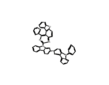 c1ccc(-c2nc(-n3c4ccccc4c4ccc(-c5ccc6c(c5)c5ccccc5n6-c5ccccc5)cc43)nc3ccc4oc5ccccc5c4c23)cc1